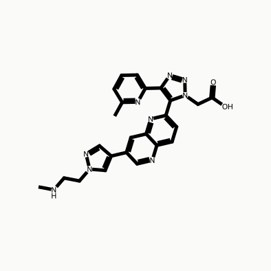 CNCCn1cc(-c2cnc3ccc(-c4c(-c5cccc(C)n5)nnn4CC(=O)O)nc3c2)cn1